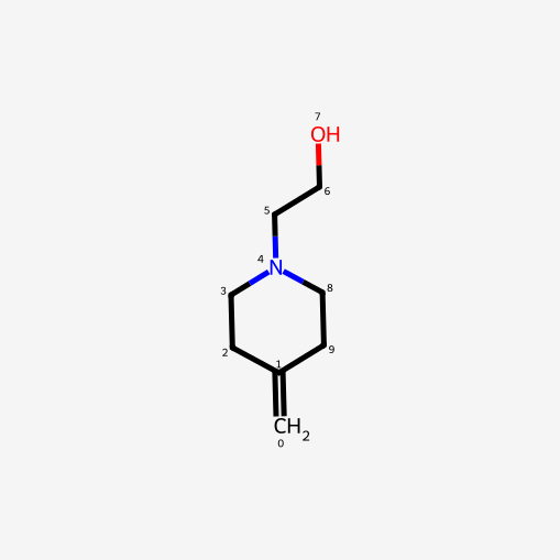 C=C1CCN(CCO)CC1